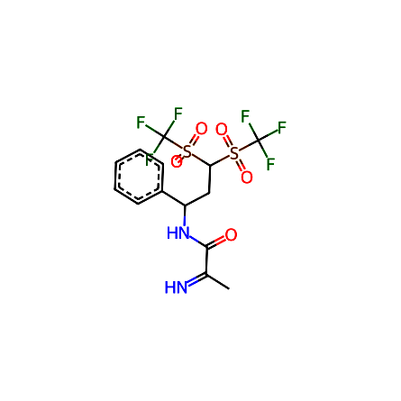 CC(=N)C(=O)NC(CC(S(=O)(=O)C(F)(F)F)S(=O)(=O)C(F)(F)F)c1ccccc1